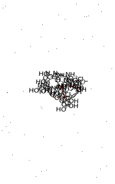 CC(C)C[C@H](C(=O)N[C@H]1C(=O)N[C@@H](CC(N)=O)C(=O)N[C@H]2C(=O)N[C@H]3C(=O)N[C@H](C(=O)N[C@H](C(=O)O)c4cc(O)cc(O)c4-c4cc3ccc4O)[C@H](O[C@H]3C[C@](C)(N)[C@@H](O)[C@H](C)O3)c3ccc(c(Cl)c3)Oc3cc2cc(c3O[C@@H]2O[C@H](CO)[C@@H](O)[C@H](O)[C@H]2O[C@H]2C[C@](C)(NCc3ccc(-c4ccc(Cl)cc4)cc3)[C@@H](O)[C@H](C)O2)Oc2ccc(cc2Cl)[C@H]1O)N(C)C(=O)OCOC(=O)[C@@H](N)CCCCN